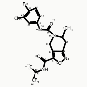 CC1Cc2noc(C(=O)N[C@H](C)C(F)(F)F)c2CN1C(=O)Nc1ccc(F)c(Cl)c1